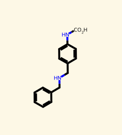 O=C(O)Nc1ccc(CNCc2ccccc2)cc1